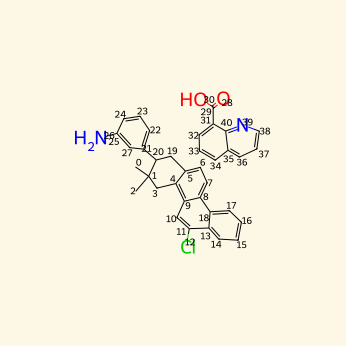 CC1(C)Cc2c(ccc3c2cc(Cl)c2ccccc23)CC1c1cccc(N)c1.O=C(O)c1cccc2cccnc12